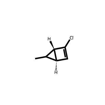 CC1[C@@H]2C=C(Cl)[C@@H]12